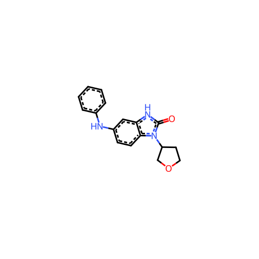 O=c1[nH]c2cc(Nc3ccccc3)ccc2n1C1CCOC1